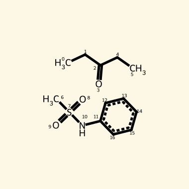 CCC(=O)CC.CS(=O)(=O)Nc1ccccc1